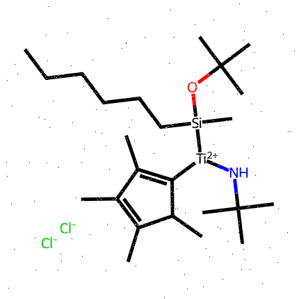 CCCCCC[Si](C)(OC(C)(C)C)[Ti+2]([NH]C(C)(C)C)[C]1=C(C)C(C)=C(C)C1C.[Cl-].[Cl-]